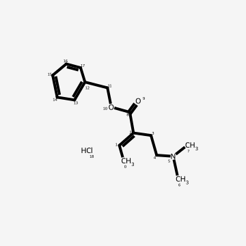 CC=C(CCN(C)C)C(=O)OCc1ccccc1.Cl